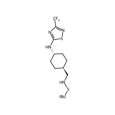 CC(C)(C)SNC[C@H]1CC[C@H](Nc2nc(C(F)(F)F)ns2)CC1